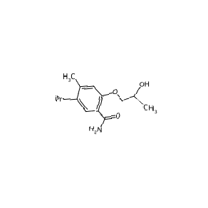 Cc1cc(OCC(C)O)c(C(N)=O)cc1C(C)C